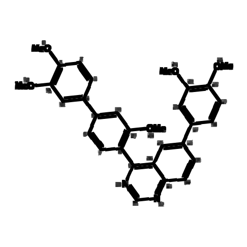 COc1ccc(-c2ccc(-c3ncnc4ccc(-c5ccc(OC)c(OC)c5)cc34)c(OC)c2)cc1OC